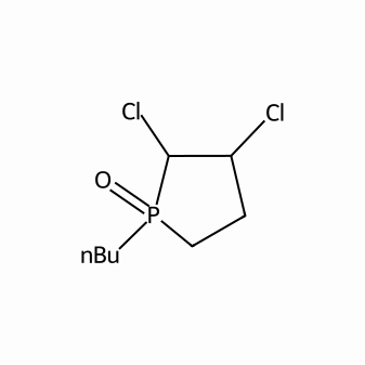 CCCCP1(=O)CCC(Cl)C1Cl